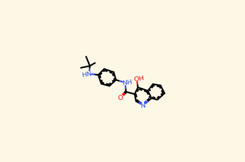 CC(C)(C)Nc1ccc(NC(=O)c2cnc3ccccc3c2O)cc1